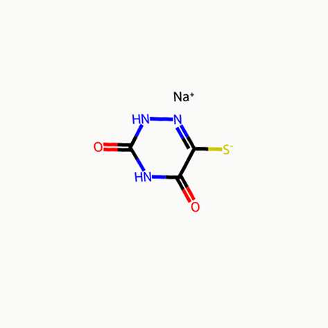 O=c1[nH]nc([S-])c(=O)[nH]1.[Na+]